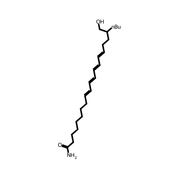 CCCCC(CO)CC/C=C/C=C/C=C/C=C/CCCCCCCC(N)=O